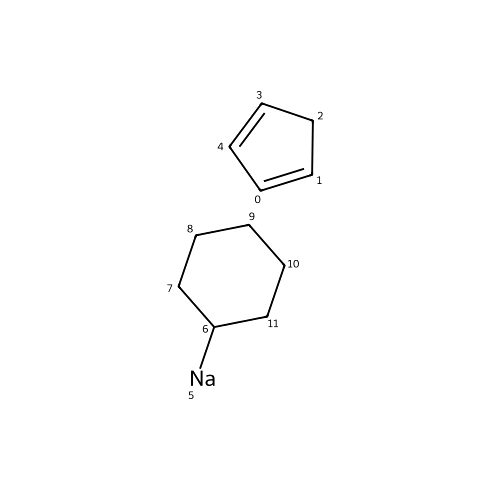 C1=CCC=C1.[Na][CH]1CCCCC1